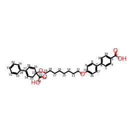 O=C(O)c1ccc(-c2ccc(OCCCCCCCCOC3(C(=O)O)C=CC(c4ccccc4)=CC3)cc2)cc1